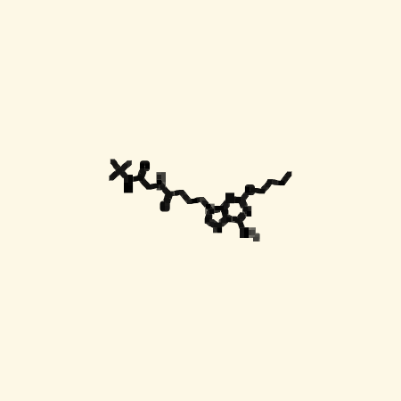 CCCCOc1nc(N)c2ncn(CCCC(=O)NCC(=O)NC(C)(C)C)c2n1